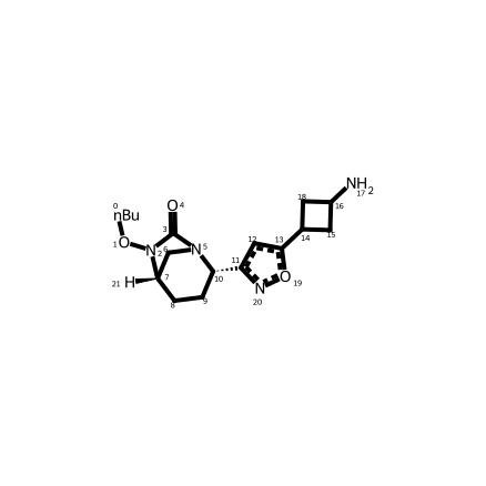 CCCCON1C(=O)N2C[C@@H]1CC[C@H]2c1cc(C2CC(N)C2)on1